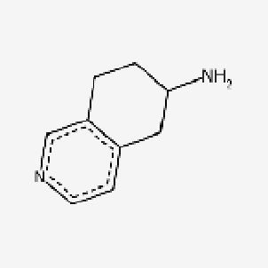 NC1CCc2cnccc2C1